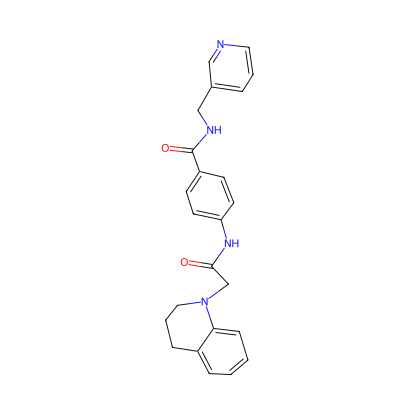 O=C(CN1CCCc2ccccc21)Nc1ccc(C(=O)NCc2cccnc2)cc1